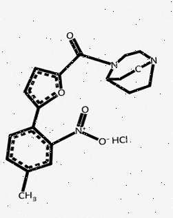 Cc1ccc(-c2ccc(C(=O)N3CCN4CCC3CC4)o2)c([N+](=O)[O-])c1.Cl